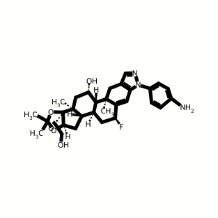 CC1(C)O[C@@H]2C[C@H]3[C@@H]4C[C@H](F)C5=Cc6c(cnn6-c6ccc(N)cc6)C[C@]5(C)[C@H]4[C@@H](O)C[C@]3(C)[C@]2(C(=O)CO)O1